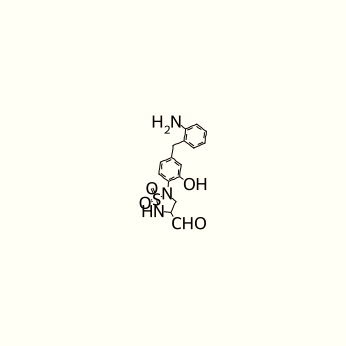 Nc1ccccc1Cc1ccc(N2CC(C=O)NS2(=O)=O)c(O)c1